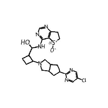 [O-][S@+]1CCc2ncnc(NC(O)C3CCC3N3CC4CC(c5ncc(Cl)cn5)CC4C3)c21